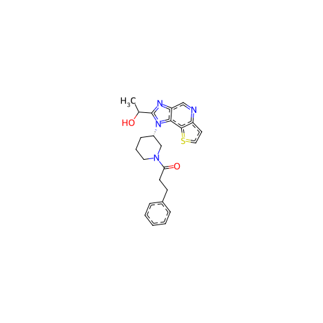 CC(O)c1nc2cnc3ccsc3c2n1[C@H]1CCCN(C(=O)CCc2ccccc2)C1